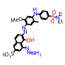 CCN(CC)S(=O)(=O)c1ccc(Nc2cc(OC)c(/N=N/c3ccc4cc(S(=O)(=O)O)cc(N=NN)c4c3O)cc2C)cc1